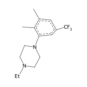 CCN1CCN(c2cc(C(F)(F)F)cc(C)c2C)CC1